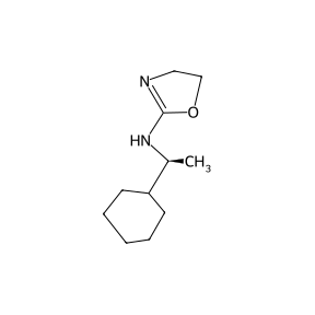 C[C@H](NC1=NCCO1)C1CCCCC1